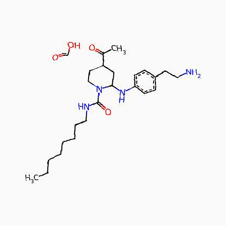 CCCCCCCCNC(=O)N1CCC(C(C)=O)CC1Nc1ccc(CCN)cc1.O=CO